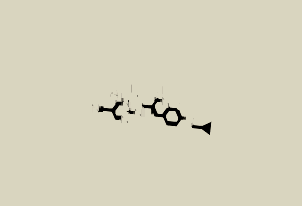 COc1nc(N[C@@H](C)c2cc3ccc(OCC4CC4)c(Cl)c3[nH]c2=O)ncc1C#N